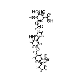 O=C(C[C@@H]1CCc2c1[nH]c1ccc(OCc3ccc(C4CCCC4)c(C(F)(F)F)c3)cc21)OC1O[C@H](C(=O)O)[C@@H](O)[C@H](O)[C@H]1O